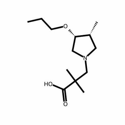 CCCO[C@H]1CN(CC(C)(C)C(=O)O)C[C@H]1C